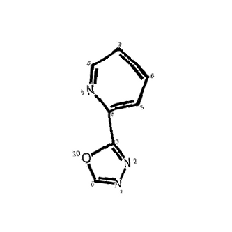 [c]1nnc(-c2ccccn2)o1